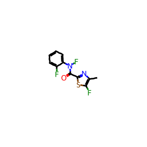 Cc1nc(C(=O)N(F)c2ccccc2F)sc1F